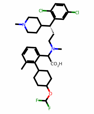 Cc1cccc(C(C(=O)O)N(C)CC[C@@H](c2cc(Cl)ccc2Cl)C2CCN(C)CC2)c1C1CCC(OC(F)F)CC1